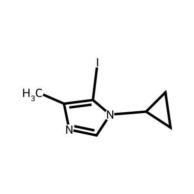 Cc1ncn(C2CC2)c1I